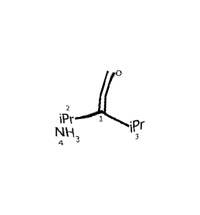 C=C(C(C)C)C(C)C.N